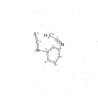 CC#N.S=C=Nc1ccccc1